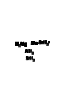 [AlH3].[MgH2].[Mn].[SnH2].[SrH2]